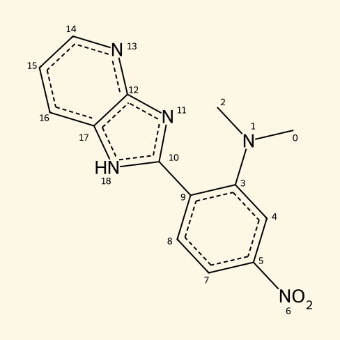 CN(C)c1cc([N+](=O)[O-])ccc1-c1nc2ncccc2[nH]1